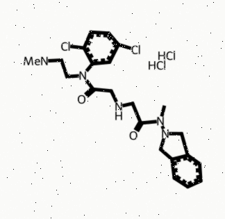 CNCCN(C(=O)CNCC(=O)N(C)N1Cc2ccccc2C1)c1cc(Cl)ccc1Cl.Cl.Cl